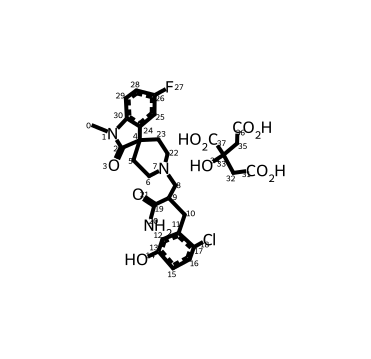 CN1C(=O)C2(CCN(CC(Cc3cc(O)ccc3Cl)C(N)=O)CC2)c2cc(F)ccc21.O=C(O)CC(O)(CC(=O)O)C(=O)O